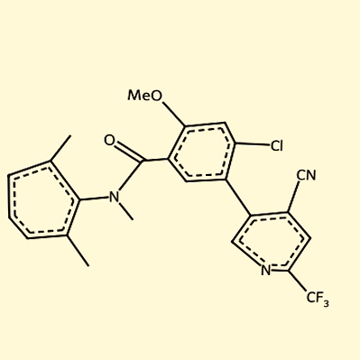 COc1cc(Cl)c(-c2cnc(C(F)(F)F)cc2C#N)cc1C(=O)N(C)c1c(C)cccc1C